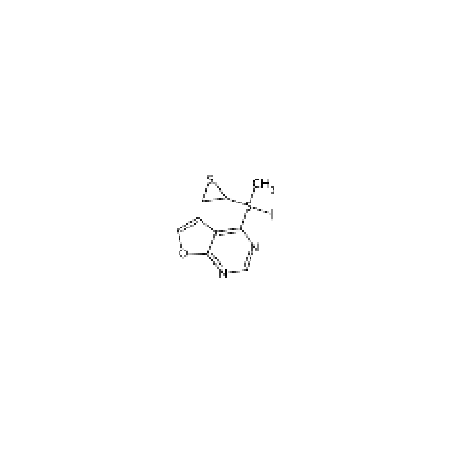 CS(I)(c1ncnc2occc12)C1CS1